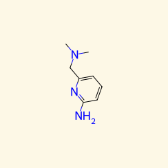 CN(C)Cc1cccc(N)n1